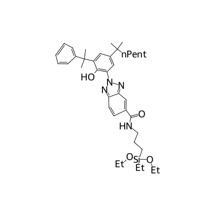 CCCCCC(C)(C)c1cc(-n2nc3ccc(C(=O)NCCC[Si](CC)(OCC)OCC)cc3n2)c(O)c(C(C)(C)c2ccccc2)c1